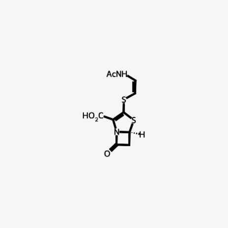 CC(=O)N/C=C\SC1=C(C(=O)O)N2C(=O)C[C@@H]2S1